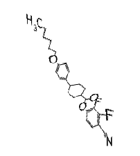 CCCCCCOc1ccc(C2CCC(C(=O)Oc3ccc(C#N)c(F)c3F)CC2)cc1